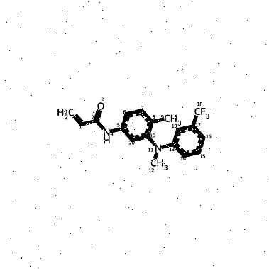 C=CC(=O)Nc1ccc(C)c(N(C)c2cccc(C(F)(F)F)c2)c1